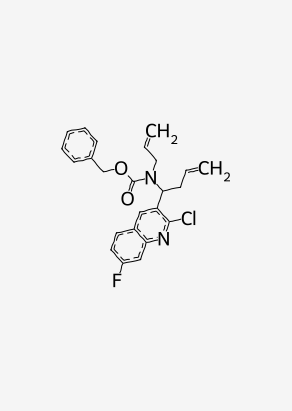 C=CCC(c1cc2ccc(F)cc2nc1Cl)N(CC=C)C(=O)OCc1ccccc1